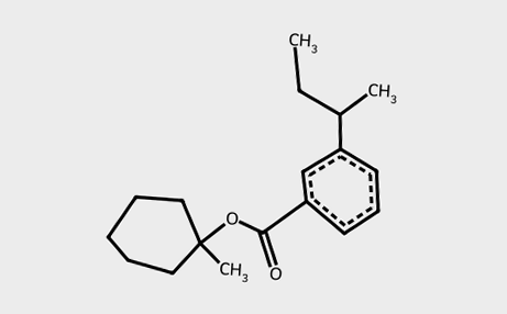 CCC(C)c1cccc(C(=O)OC2(C)CCCCC2)c1